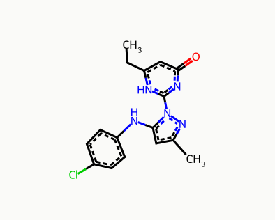 CCc1cc(=O)nc(-n2nc(C)cc2Nc2ccc(Cl)cc2)[nH]1